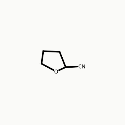 N#CC1CC[CH]O1